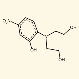 O=[N+]([O-])c1ccc(N(CCO)CCO)c(O)c1